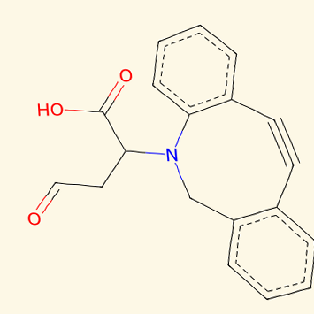 O=CCC(C(=O)O)N1Cc2ccccc2C#Cc2ccccc21